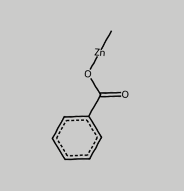 [CH3][Zn][O]C(=O)c1ccccc1